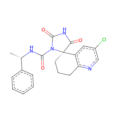 C[C@H](NC(=O)N1C(=O)NC(=O)[C@]12CCCc1ncc(Cl)cc12)c1ccccc1